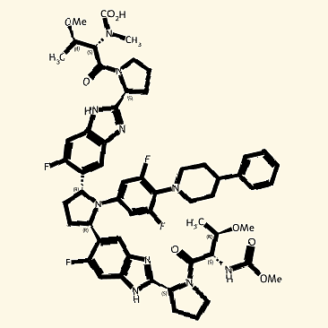 COC(=O)N[C@H](C(=O)N1CCC[C@H]1c1nc2cc([C@H]3CC[C@H](c4cc5nc([C@@H]6CCCN6C(=O)[C@H]([C@@H](C)OC)N(C)C(=O)O)[nH]c5cc4F)N3c3cc(F)c(N4CCC(c5ccccc5)CC4)c(F)c3)c(F)cc2[nH]1)[C@@H](C)OC